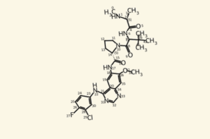 CN[C@@H](C)C(=O)N[C@H](C(=O)N1CCC[C@H]1C(=O)Nc1cc2c(Nc3ccc(F)c(Cl)c3)ncnc2cc1OC)C(C)(C)C